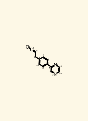 O=C=CCc1ccc(-c2cnccn2)cc1